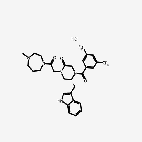 CN1CCCN(C(=O)CN2C[C@@H](Cc3c[nH]c4ccccc34)N(C(=O)c3cc(C(F)(F)F)cc(C(F)(F)F)c3)CC2=O)CC1.Cl